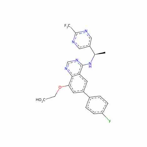 C[C@@H](Nc1ncnc2c(OCC(=O)O)cc(-c3ccc(F)cc3)cc12)c1cnc(C(F)(F)F)nc1